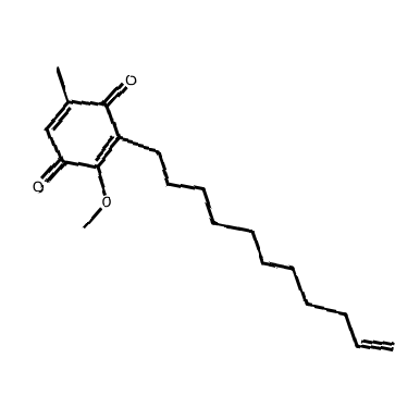 C=CCCCCCCCCCC1=C(OC)C(=O)C=C(C)C1=O